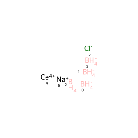 [BH4-].[BH4-].[BH4-].[BH4-].[Ce+4].[Cl-].[Na+]